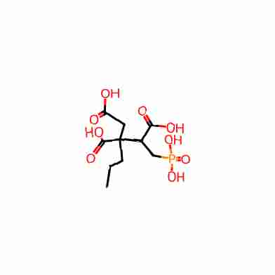 CCCC(CC(=O)O)(C(=O)O)C(CP(=O)(O)O)C(=O)O